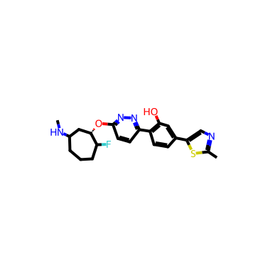 CNC1CCCC(F)[C@@H](Oc2ccc(-c3ccc(-c4cnc(C)s4)cc3O)nn2)C1